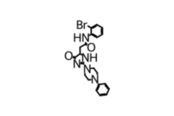 O=C(CC1NC(N2CCN(c3ccccc3)CC2)=NC1=O)Nc1ccccc1Br